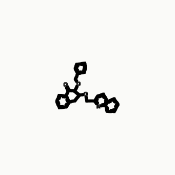 O=C1c2ccccc2CC(OCc2ccc3ccccc3n2)C1OCc1ccccc1